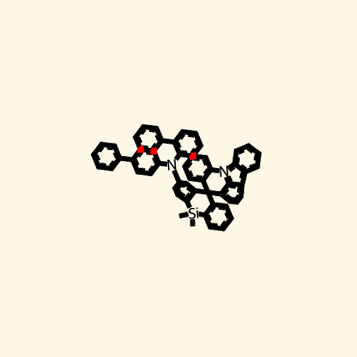 C[Si]1(C)c2ccccc2C2(c3ccccc3-n3c4ccccc4c4cccc2c43)c2cc(N(c3ccc(-c4ccccc4)cc3)c3ccccc3-c3ccccc3)ccc21